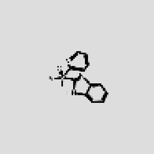 CC(C)S(C)(=O)(c1ccccn1)c1nc2ccccc2[nH]1